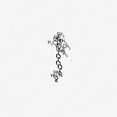 CCN(C(=O)[C@@H](NC(=O)OC)C(C)C)[C@H](c1ncc(-c2ccc(-c3ccc4cc(-c5cnc([C@@H]6CC7(CC7)CN6)[nH]5)ccc4c3)cc2)[nH]1)C(C)C